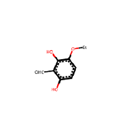 CCOc1ccc(O)c(C=O)c1O